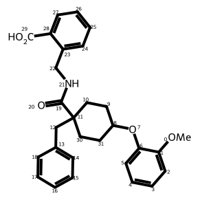 COc1ccccc1OC1CCC(Cc2ccccc2)(C(=O)NCc2ccccc2C(=O)O)CC1